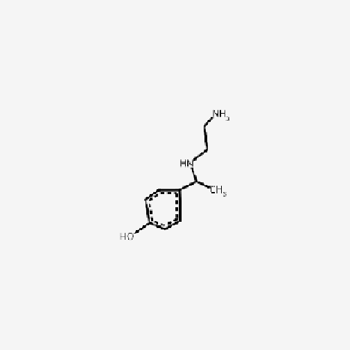 CC(NCCN)c1ccc(O)cc1